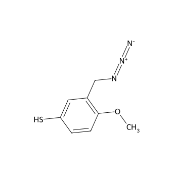 COc1ccc(S)cc1CN=[N+]=[N-]